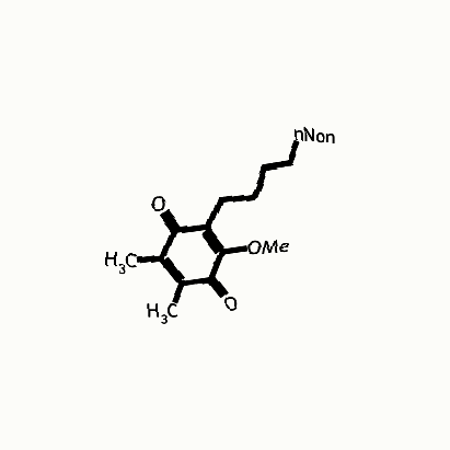 CCCCCCCCCCCCCC1=C(OC)C(=O)C(C)=C(C)C1=O